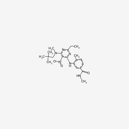 CCc1nc(Nc2cc(C(=O)NC)ccc2C)c([N+](=O)[O-])c(N(C)CC(C)(C)C)n1